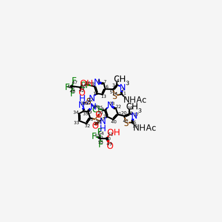 CC(=O)Nc1nc(C)c(-c2cnc(Cl)c(N)c2)s1.CC(=O)Nc1nc(C)c(-c2cnc(Cl)c(NS(=O)(=O)c3cccc4nsnc34)c2)s1.O=C(O)C(F)(F)F.O=C(O)C(F)(F)F